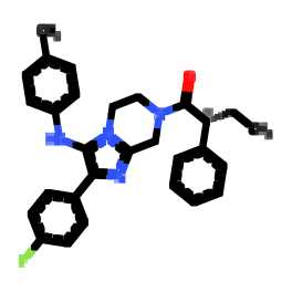 CC[C@@H](C(=O)N1CCn2c(nc(-c3ccc(F)cc3)c2Nc2ccc(C)cc2)C1)c1ccccc1